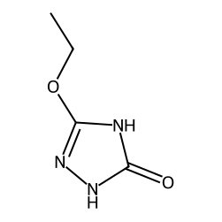 CCOc1n[nH]c(=O)[nH]1